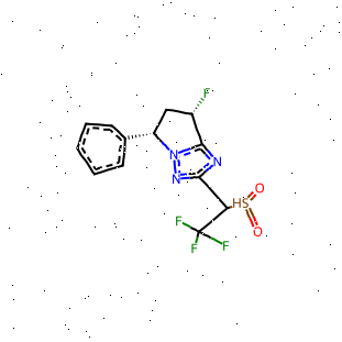 O=[SH](=O)C(c1nc2n(n1)[C@H](c1ccccc1)C[C@@H]2F)C(F)(F)F